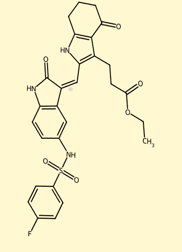 CCOC(=O)CCc1c(/C=C2\C(=O)Nc3ccc(NS(=O)(=O)c4ccc(F)cc4)cc32)[nH]c2c1C(=O)CCC2